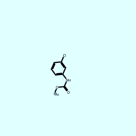 CC(C)(C)OC(=O)Nc1c[c]cc(Cl)c1